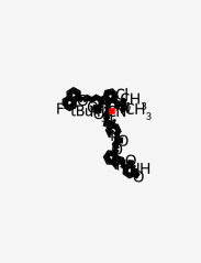 Cc1nn(C)c(C)c1-c1c(Cl)ccc2c(CCCOc3cccc4cc(F)ccc34)c(C(=O)OC(C)(C)C)n(CCN3CC4(CCN(C(=O)COc5cccc6c5CN(C5CCC(=O)NC5=O)C6)CC4)C3)c12